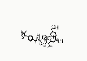 Cc1ncsc1-c1ccc([C@H](C)NC(=O)[C@@H]2CCCN2C(=O)C(/C(O)=C/C(=N)N2CCC(CO)CC2)C(C)C)cc1